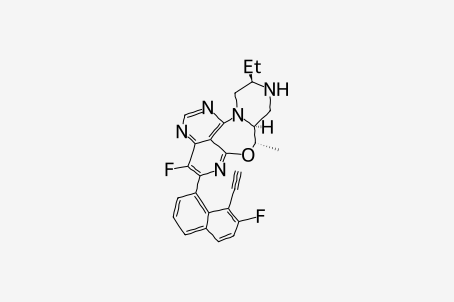 C#Cc1c(F)ccc2cccc(-c3nc4c5c(ncnc5c3F)N3C[C@@H](CC)NC[C@H]3[C@H](C)O4)c12